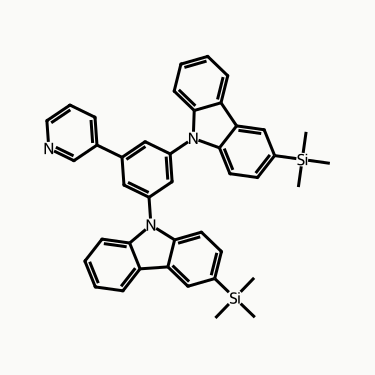 C[Si](C)(C)c1ccc2c(c1)c1ccccc1n2-c1cc(-c2cccnc2)cc(-n2c3ccccc3c3cc([Si](C)(C)C)ccc32)c1